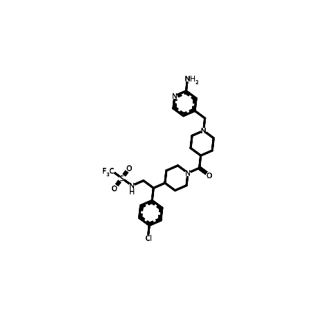 Nc1cc(CN2CCC(C(=O)N3CCC(C(CNS(=O)(=O)C(F)(F)F)c4ccc(Cl)cc4)CC3)CC2)ccn1